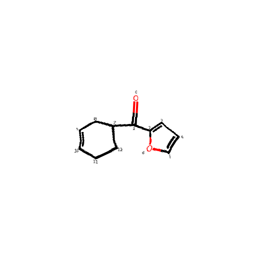 O=C(c1ccco1)C1CC=CCC1